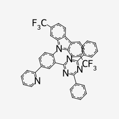 FC(F)(F)c1ccc2c3ccc(C(F)(F)F)cc3n(-c3ccc(-c4ccccn4)cc3-c3nc(-c4ccccc4)nc(-c4ccccc4)n3)c2c1